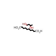 CC(O)CCO.O=C(O)CCCCCCCCC(=O)O